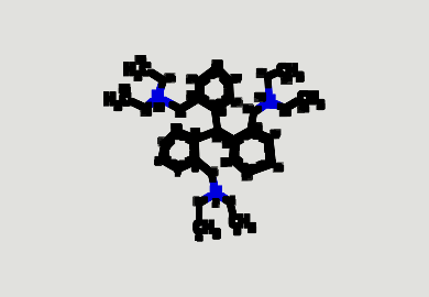 CCN(CC)Cc1ccccc1C(c1ccccc1CN(CC)CC)c1ccccc1CN(CC)CC